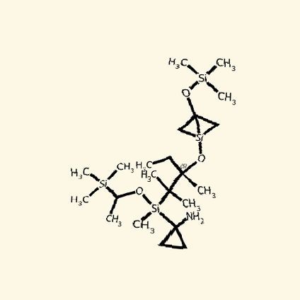 CC[C@](C)(O[Si]12CC1(O[Si](C)(C)C)C2)C(C)(C)[Si](C)(OC(C)[Si](C)(C)C)C1(N)CC1